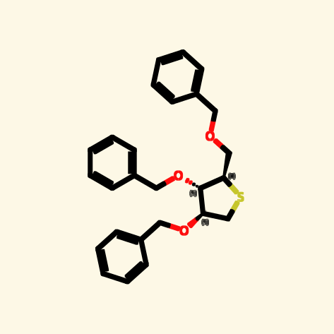 c1ccc(COC[C@H]2SC[C@@H](OCc3ccccc3)[C@@H]2OCc2ccccc2)cc1